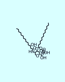 CCCCCCCCCCCCCC(=O)O[C@H]1[C@H](OS(=O)(=O)O)[C@@H](CO)OC[C@@H]1NC(=O)CC(O)CCCCCCCCCCC